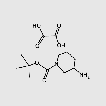 CC(C)(C)OC(=O)N1CCCC(N)C1.O=C(O)C(=O)O